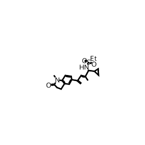 C=C(/C=C(\C)C(NS(=O)(=O)CC)C1CC1)c1ccc2c(c1)CCC(=O)N2C